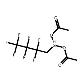 CC(=O)O[SiH](CC(F)(F)C(F)(F)C(F)(F)F)OC(C)=O